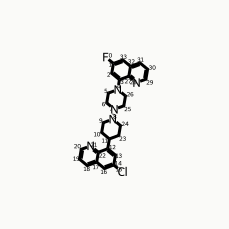 Fc1cc(N2CCN(N3CCC(c4cc(Cl)cc5cccnc45)CC3)CC2)c2ncccc2c1